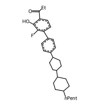 CCCCCC1CCC(C2CCC(c3ccc(-c4ccc(C(=O)CC)c(O)c4F)cc3)CC2)CC1